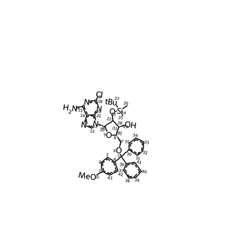 COc1ccc(C(OC[C@H]2O[C@@H](n3cnc4c(N)nc(Cl)nc43)C(O[Si](C)(C)C(C)(C)C)[C@H]2O)(c2ccccc2)c2ccccc2)cc1